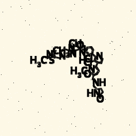 COc1nc(-c2ccnc(-c3cccc(NC(=O)c4nc5c(n4C)CCN(Cc4sc(C)nc4C)C5)c3Cl)c2Cl)ccc1CNC[C@H]1CCC(=O)N1